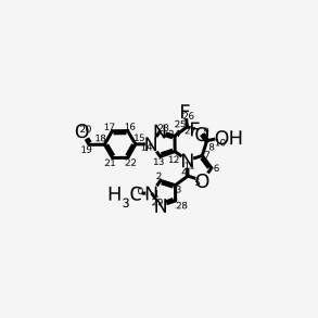 Cn1cc(C2OC=C(C(=O)O)N2c2cn(-c3ccc(C=O)cc3)nc2C(F)F)cn1